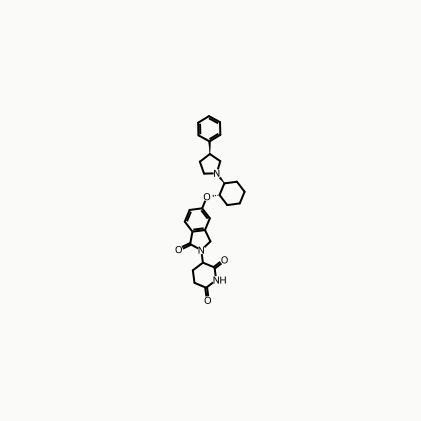 O=C1CCC(N2Cc3cc(O[C@H]4CCCC[C@@H]4N4CC[C@@H](c5ccccc5)C4)ccc3C2=O)C(=O)N1